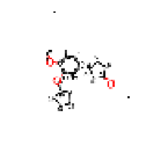 COc1ccc([C@@H]2CCC(=O)C2)cc1OC1CCCC1